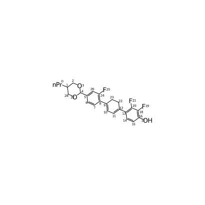 CCCC1COC(c2ccc(C3=CC=C(c4ccc(O)c(F)c4F)CC3)c(F)c2)OC1